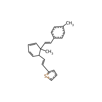 Cc1ccc(C=CC2(C)C=CC=CC2/C=C/c2cccs2)cc1